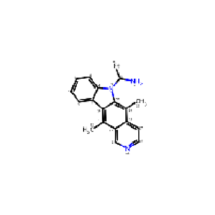 CCC(N)n1c2ccccc2c2c(C)c3cnccc3c(C)c21